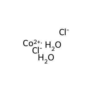 O.O.[Cl-].[Cl-].[Co+2]